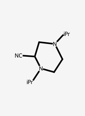 CC(C)N1CCN(C(C)C)C(C#N)C1